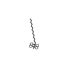 CCCCCCCCCCCCCCC(Cl)(Cl)C(C)(Cl)Cl